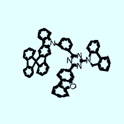 c1cc(-c2nc(-c3ccc4c(c3)oc3ccccc34)nc(N3Cc4ccccc4-c4ccccc43)n2)cc(-n2c3ccccc3c3cc4c(cc32)-c2ccccc2C42c3ccccc3-c3ccccc32)c1